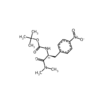 CN(C)C(=O)[C@H](Cc1ccc([N+](=O)[O-])cc1)NC(=O)OC(C)(C)C